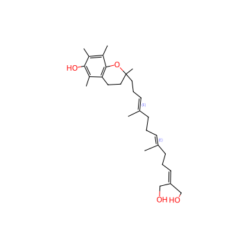 C/C(=C\CC/C(C)=C/CCC1(C)CCc2c(C)c(O)c(C)c(C)c2O1)CCC=C(CO)CO